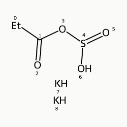 CCC(=O)OS(=O)O.[KH].[KH]